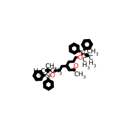 CC(=O)C=C(CCCO[Si](c1ccccc1)(c1ccccc1)C(C)(C)C)CCCO[Si](c1ccccc1)(c1ccccc1)C(C)(C)C